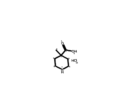 CC1(C(=O)O)CCNCC1.Cl